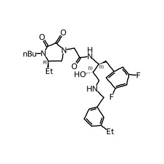 CCCCN1C(=O)C(=O)N(CC(=O)N[C@@H](Cc2cc(F)cc(F)c2)[C@@H](O)CNCc2cccc(CC)c2)C[C@H]1CC